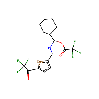 O=C(OC(NCc1ccc(C(=O)C(F)(F)F)s1)C1CCCCC1)C(F)(F)F